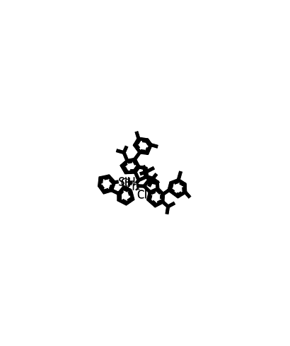 Cc1cc(C)cc(-c2c(C(C)C)ccc3c2C=C(C(C)(C)C)[CH]3[Zr]([Cl])([Cl])([c]2cccc3c2[SiH2]c2ccccc2-3)[CH]2C(C(C)(C)C)=Cc3c2ccc(C(C)C)c3-c2cc(C)cc(C)c2)c1